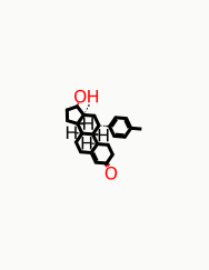 Cc1ccc([C@H]2C[C@]3(C)[C@@H](O)CC[C@H]3[C@@H]3CCC4=CC(=O)CC[C@@H]4[C@H]32)cc1